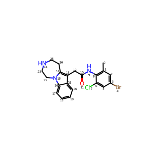 Cc1cc(Br)cc(Cl)c1NC(=O)Cc1c2n(c3ccccc13)CCNCC2